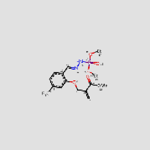 C=C(COc1cc(C(F)(F)F)ccc1/C=N/NP(=O)(OCC)OCC)C(=O)OC